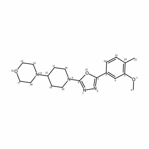 COc1cc(-c2nnc(N3CCC(N4CCOCC4)CC3)o2)ccc1C